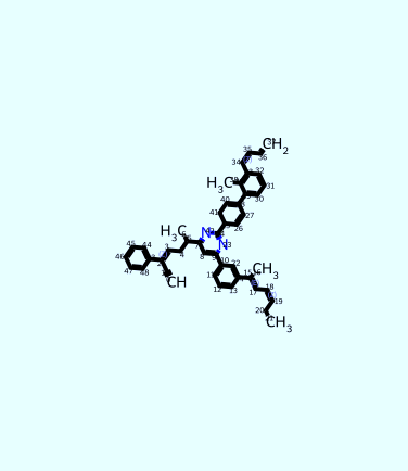 C#C/C(=C\CC(C)c1cc(-c2cccc(/C(C)=C/C=C\CC)c2)nc(C2C=CC(c3cccc(/C=C\C=C)c3C)=CC2)n1)c1ccccc1